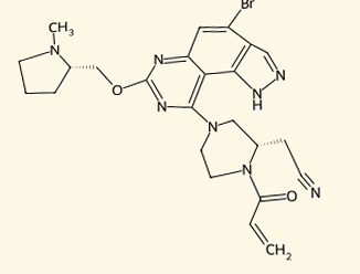 C=CC(=O)N1CCN(c2nc(OC[C@@H]3CCCN3C)nc3cc(Br)c4cn[nH]c4c23)C[C@@H]1CC#N